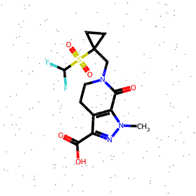 Cn1nc(C(=O)O)c2c1C(=O)N(CC1(S(=O)(=O)C(F)F)CC1)CC2